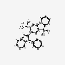 CC(=O)CC(C)=O.CCC1(CC)c2ccccc2-c2ccc(-c3nc4ccccc4n3-c3ccccc3)cc21.[Ir]